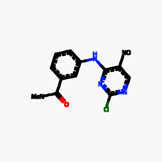 CNC(=O)c1cccc(Nc2nc(Cl)ncc2N=O)c1